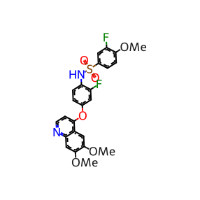 COc1ccc(S(=O)(=O)Nc2ccc(Oc3ccnc4cc(OC)c(OC)cc34)cc2F)cc1F